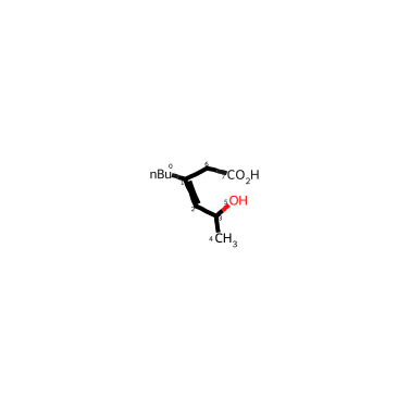 CCCCC(=CC(C)O)CC(=O)O